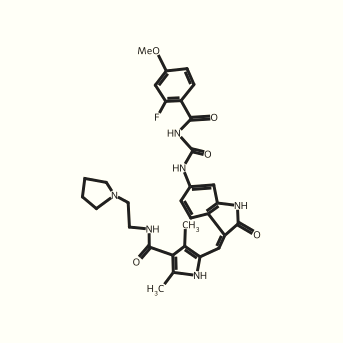 COc1ccc(C(=O)NC(=O)Nc2ccc3c(c2)NC(=O)C3=Cc2[nH]c(C)c(C(=O)NCCN3CCCC3)c2C)c(F)c1